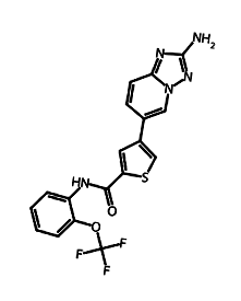 Nc1nc2ccc(-c3csc(C(=O)Nc4ccccc4OC(F)(F)F)c3)cn2n1